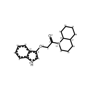 O=C(COc1c[nH]c2ccccc12)N1CCCC2CCCCC21